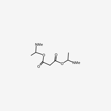 CNC(C)OC(=O)CC(=O)OC(C)NC